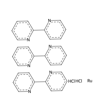 Cl.Cl.[Ru].c1ccc(-c2ccccn2)nc1.c1ccc(-c2ccccn2)nc1.c1ccc(-c2ccccn2)nc1